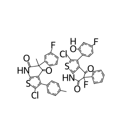 Cc1ccc(-c2c(Cl)sc3c2C(=O)C(C)(c2cccc(F)c2)C(=O)N3)cc1.O=C1Nc2sc(Cl)c(-c3ccc(F)cc3O)c2C(=O)C1(F)c1ccccc1